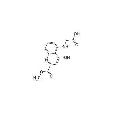 COC(=O)c1cc(O)c2c(NCC(=O)O)cccc2n1